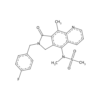 Cc1c2c(c(N(C)S(C)(=O)=O)c3cccnc13)CN(Cc1ccc(F)cc1)C2=O